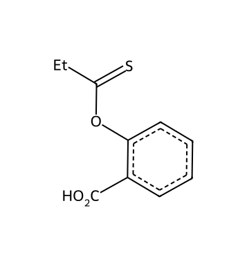 CCC(=S)Oc1ccccc1C(=O)O